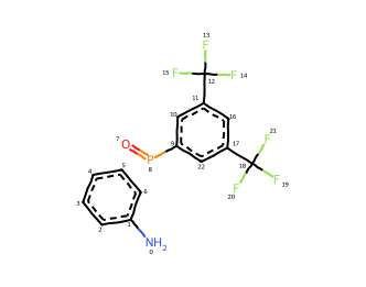 Nc1ccccc1.O=Pc1cc(C(F)(F)F)cc(C(F)(F)F)c1